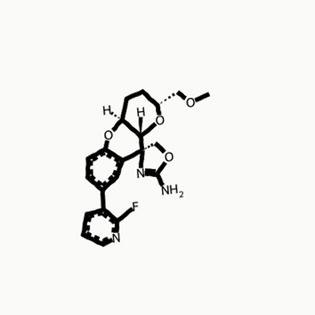 COC[C@H]1CC[C@@H]2Oc3ccc(-c4cccnc4F)cc3[C@@]3(COC(N)=N3)[C@H]2O1